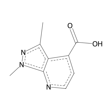 Cc1nn(C)c2nccc(C(=O)O)c12